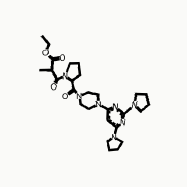 CCOC(=O)C(C)C(=O)N1CCCC1C(=O)N1CCN(c2cc(N3CCCC3)nc(N3CCCC3)n2)CC1